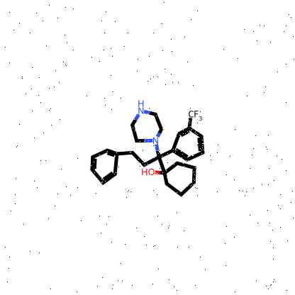 OC1(C(CCc2ccccc2)(c2cccc(C(F)(F)F)c2)N2CCNCC2)CCCCC1